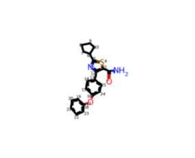 NC(=O)c1sc(C2CCCC2)nc1-c1ccc(Oc2ccccc2)cc1